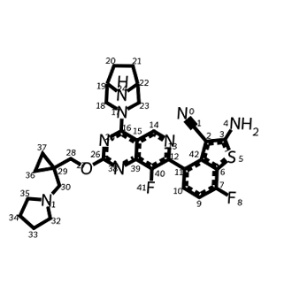 N#Cc1c(N)sc2c(F)ccc(-c3ncc4c(N5CC6CCC(C5)N6)nc(OCC5(CN6CCCC6)CC5)nc4c3F)c12